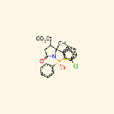 CCOC(=O)C1CC(=O)N(P(=O)(c2ccccc2)c2ccccc2)C1(C)c1ccc(Cl)s1